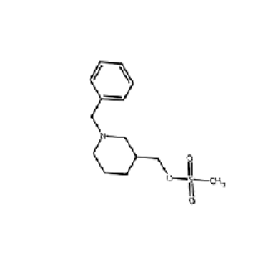 CS(=O)(=O)OCC1CCCN(Cc2ccccc2)C1